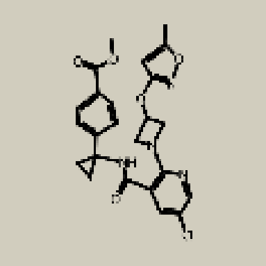 COC(=O)c1ccc(C2(NC(=O)c3cc(Cl)cnc3N3CC(Oc4cc(C)on4)C3)CC2)cc1